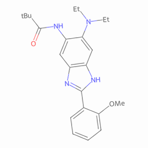 CCN(CC)c1cc2[nH]c(-c3ccccc3OC)nc2cc1NC(=O)C(C)(C)C